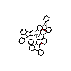 c1ccc(-c2ccccc2N(c2ccc3c4ccccc4c4ccccc4c3c2)c2cc3c(cc2-c2ccc4c(c2)c2ccccc2n4-c2ccccc2)-c2ccccc2C32c3ccccc3-c3ccccc32)cc1